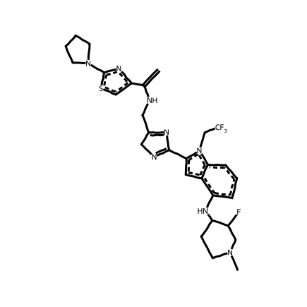 C=C(NCC1=NC(c2cc3c(NC4CCN(C)CC4F)cccc3n2CC(F)(F)F)=NC1)c1csc(N2CCCC2)n1